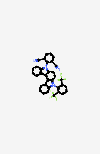 N#Cc1cccc(C#N)c1-n1c2ccccc2c2c3c4ccccc4n(-c4c(C(F)(F)F)cccc4C(F)(F)F)c3ccc21